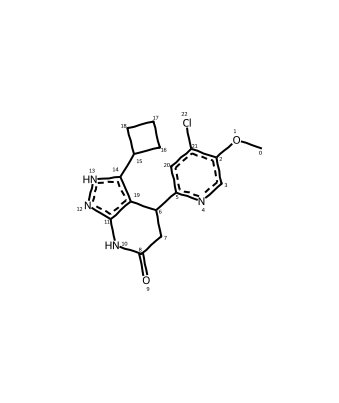 COc1cnc(C2CC(=O)Nc3n[nH]c(C4CCC4)c32)cc1Cl